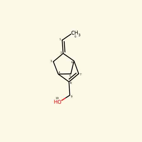 C/C=C1/CC2CC1C=C2CO